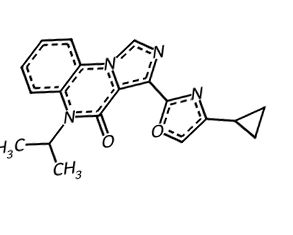 CC(C)n1c(=O)c2c(-c3nc(C4CC4)co3)ncn2c2ccccc21